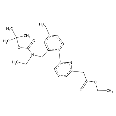 CCOC(=O)Cc1cccc(-c2ccc(C)cc2CN(CC)C(=O)OC(C)(C)C)n1